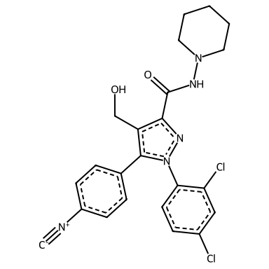 [C-]#[N+]c1ccc(-c2c(CO)c(C(=O)NN3CCCCC3)nn2-c2ccc(Cl)cc2Cl)cc1